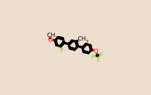 COc1ccc(-c2ccc(-c3ccc(OC(F)(F)F)cc3)c(C)c2)c(F)c1